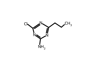 CCCc1nc(N)nc(Cl)n1